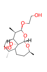 C[C@H]1[C@@H](OCCO)O[C@@H]2O[C@@H](C)CCC3[C@H](C)CC[C@@H]1[C@]32OO